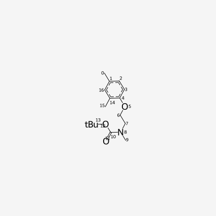 Cc1ccc(OCCN(C)C(=O)OC(C)(C)C)c(C)c1